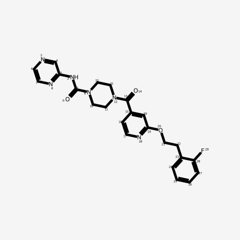 O=C(Nc1cnccn1)N1CCN(C(=O)c2ccnc(OCCc3ccccc3F)c2)CC1